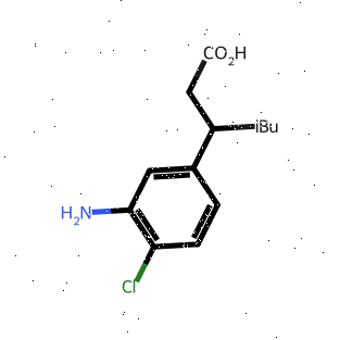 CCC(C)C(CC(=O)O)c1ccc(Cl)c(N)c1